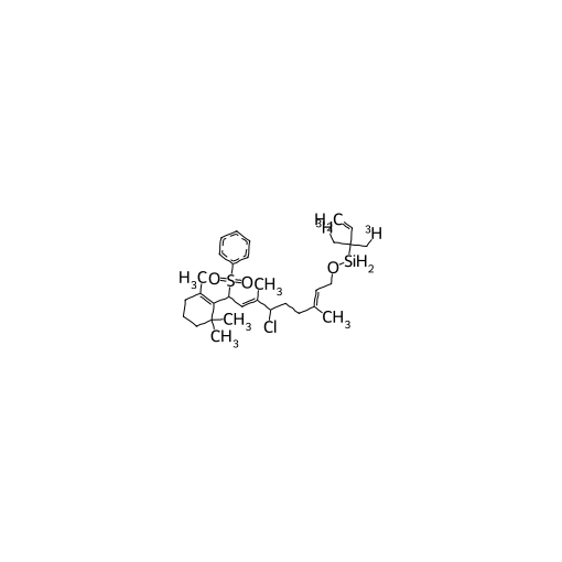 [3H]CC(C=C)(C[3H])[SiH2]OCC=C(C)CCC(Cl)C(C)=CC(C1=C(C)CCCC1(C)C)S(=O)(=O)c1ccccc1